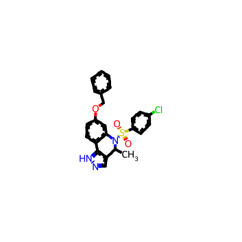 CC1c2cn[nH]c2-c2ccc(OCc3ccccc3)cc2N1S(=O)(=O)c1ccc(Cl)cc1